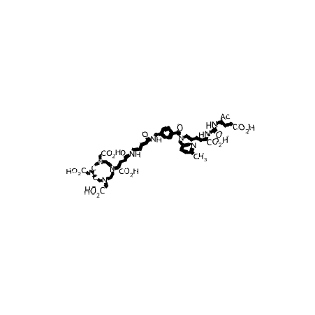 CC(=O)[C@@H](CCC(=O)O)NC(=O)N[C@H](CCCCN(Cc1ccc(C)nc1)C(=O)c1ccc(CNC(=O)CCCCNC(=O)CCC(C(=O)O)N2CCN(CC(=O)O)CCN(CC(=O)O)CCN(CC(=O)O)CC2)cc1)C(=O)O